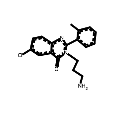 Cc1ccccc1-c1nc2ccc(Cl)cc2c(=O)n1CCCN